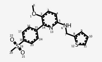 COc1ccc(NCc2cccs2)nc1-c1ccc(S(C)(=O)=O)cc1